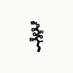 C=CC[C@H](C)N(CC)S(=O)(=O)NC(=O)OC(C)(C)C